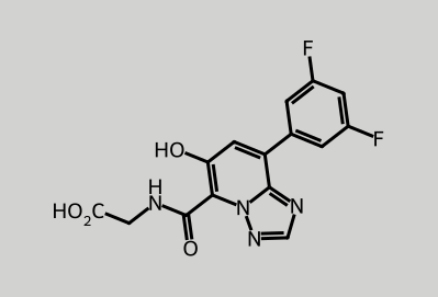 O=C(O)CNC(=O)c1c(O)cc(-c2cc(F)cc(F)c2)c2ncnn12